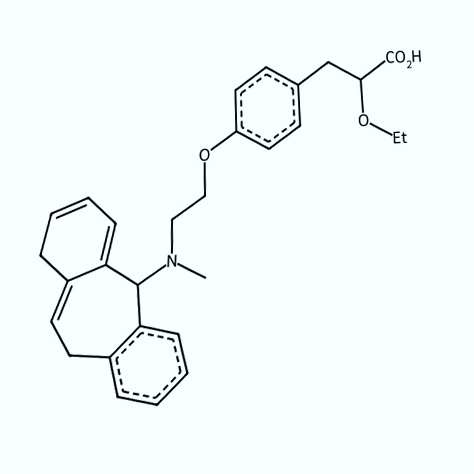 CCOC(Cc1ccc(OCCN(C)C2C3=CC=CCC3=CCc3ccccc32)cc1)C(=O)O